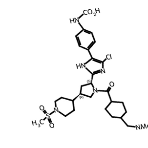 CNCC1CCC(C(=O)N2C[C@@H](C3CCN(S(C)(=O)=O)CC3)C[C@H]2c2nc(Cl)c(-c3ccc(NC(=O)O)cc3)[nH]2)CC1